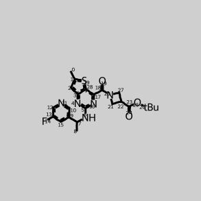 Cc1cc2nc(NC(C)c3cncc(F)c3)nc(C(=O)N3CC(C(=O)OC(C)(C)C)C3)c2s1